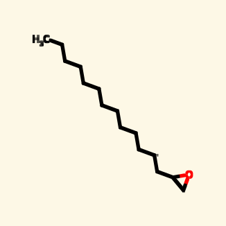 CCCCCCCCCCC[CH]CC1CO1